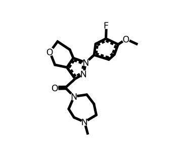 COc1ccc(-n2nc(C(=O)N3CCCN(C)CC3)c3c2CCOC3)cc1F